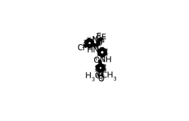 CP(C)(=O)c1ccc(C(=O)N[C@@H]2CCC[C@H](Nc3cc(C(F)(F)F)nc4ccc(Cl)cc34)C2)cc1